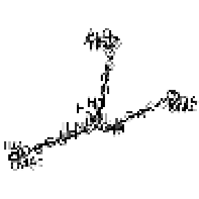 CC(=O)O[C@@H]1[C@H](OC(C)=O)CCO[C@]1(CO)COCCOCCOCCOCCN/C=C(\N)COCC(COC/C(N)=C/NCCOCCOCCOCCOC[C@@]1(CO)OCC[C@@H](OC(C)=O)[C@H]1OC(C)=O)(COCc1cn(CCOCCOCCOCCOC[C@@]2(CO)OCC[C@@H](OC(C)=O)[C@H]2OC(C)=O)nn1)NN